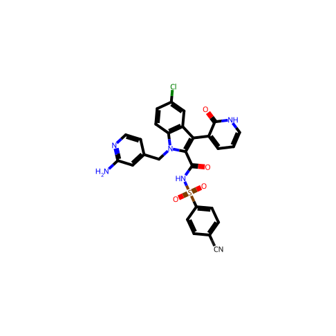 N#Cc1ccc(S(=O)(=O)NC(=O)c2c(-c3ccc[nH]c3=O)c3cc(Cl)ccc3n2Cc2ccnc(N)c2)cc1